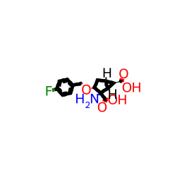 N[C@]1(C(=O)O)[C@H]2[C@@H](C[C@H]1OCc1ccc(F)cc1)[C@@H]2C(=O)O